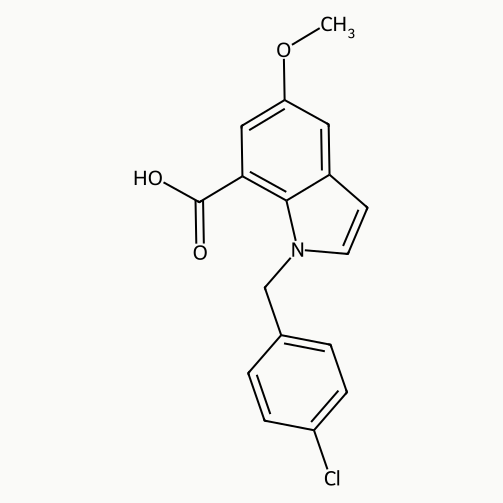 COc1cc(C(=O)O)c2c(ccn2Cc2ccc(Cl)cc2)c1